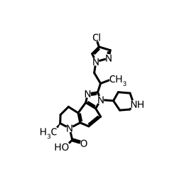 CC(Cn1cc(Cl)cn1)c1nc2c3c(ccc2n1C1CCNCC1)N(C(=O)O)[C@@H](C)CC3